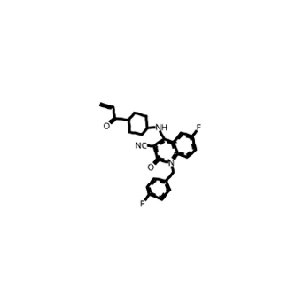 C=CC(=O)C1CCC(Nc2c(C#N)c(=O)n(Cc3ccc(F)cc3)c3ccc(F)cc23)CC1